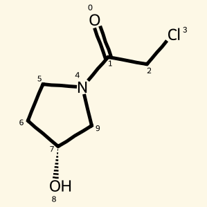 O=C(CCl)N1CC[C@@H](O)C1